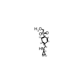 CCS(=O)(=O)c1ccc(CNC2CC2)cc1